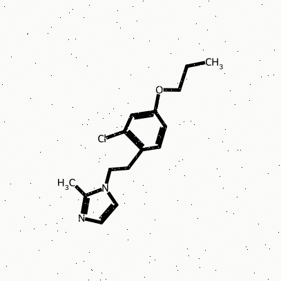 CCCOc1ccc(CCn2ccnc2C)c(Cl)c1